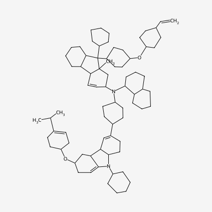 C=CC1CCC(OC2CCC(C3(C4CCCCC4)C4CCCCC4C4C=CC(N(C5CCC(C6=CC7C8CC(OC9CC=C(C(C)C)CC9)CC=C8N(C8CCCCC8)C7CC6)CC5)C5CCCC6CCCCC65)CC43C)CC2)CC1